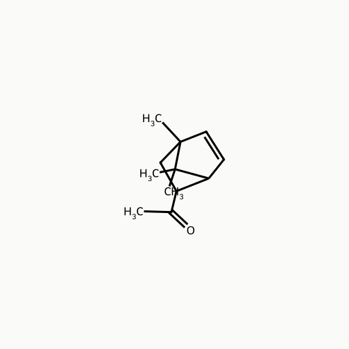 CC(=O)C1CC2(C)C=CC1C2(C)C